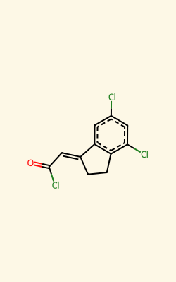 O=C(Cl)C=C1CCc2c(Cl)cc(Cl)cc21